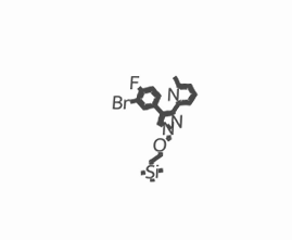 Cc1cccc(-c2nn(COCC[Si](C)(C)C)cc2-c2ccc(F)c(Br)c2)n1